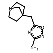 Nc1noc(CC23CCN(CC2)C3)n1